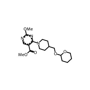 COC(=O)c1cnc(OC)nc1N1CCC(COC2CCCCO2)CC1